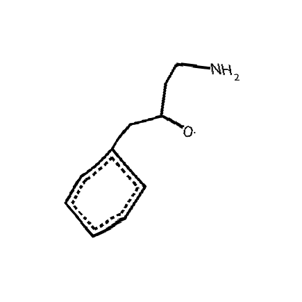 NCC([O])Cc1ccccc1